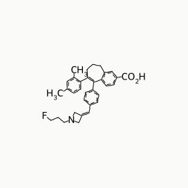 Cc1ccc(C2=C(c3ccc(C=C4CN(CCCF)C4)cc3)c3ccc(C(=O)O)cc3CCC2)c(C)c1